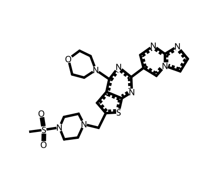 CS(=O)(=O)N1CCN(Cc2cc3c(N4CCOCC4)nc(-c4cnc5nccn5c4)nc3s2)CC1